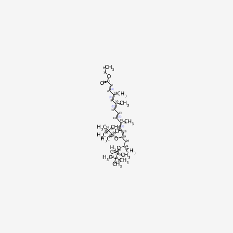 CCOC(=O)/C=C/C(C)=C/C(C)=C/C=C/C(C)=C/CC(CC(C)O[Si](C)(C)C(C)(C)C)O[Si](C)(C)C(C)(C)C